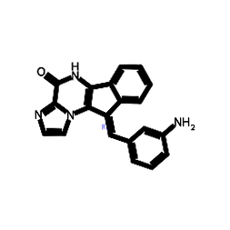 Nc1cccc(/C=c2\c3ccccc3c3[nH]c(=O)c4nccn4c23)c1